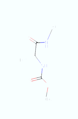 CCNC(=O)[C@H](NC(=O)OC(C)(C)C)C(C)C